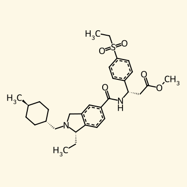 CC[C@H]1c2ccc(C(=O)N[C@@H](CC(=O)OC)c3ccc(S(=O)(=O)CC)cc3)cc2CN1C[C@H]1CC[C@H](C)CC1